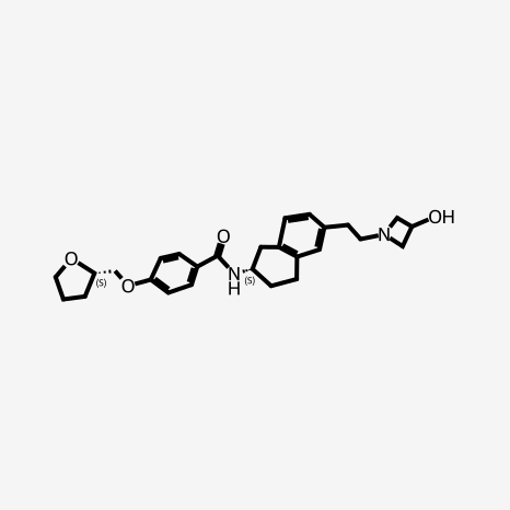 O=C(N[C@H]1CCc2cc(CCN3CC(O)C3)ccc2C1)c1ccc(OC[C@@H]2CCCO2)cc1